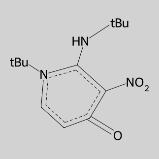 CC(C)(C)Nc1c([N+](=O)[O-])c(=O)ccn1C(C)(C)C